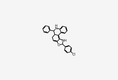 Clc1ccc(C2NC3=C4c5ccccc5NC(c5ccccc5)C4CC=C3O2)cc1